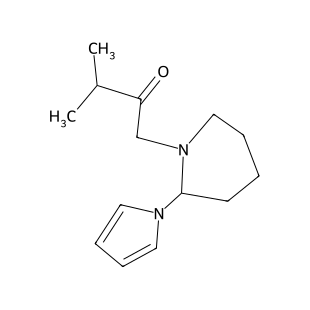 CC(C)C(=O)CN1CCCCC1n1cccc1